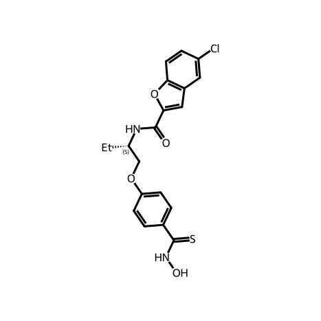 CC[C@@H](COc1ccc(C(=S)NO)cc1)NC(=O)c1cc2cc(Cl)ccc2o1